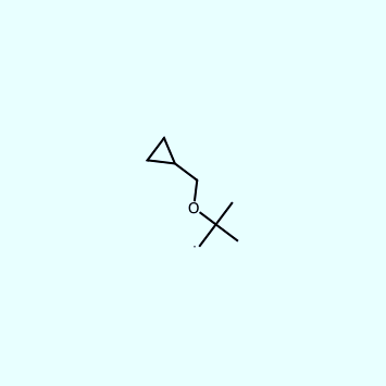 [CH2]C(C)(C)OCC1CC1